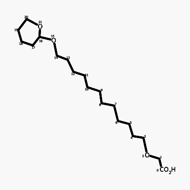 O=C(O)COCCCCCCCCCCCCOC1CCCCO1